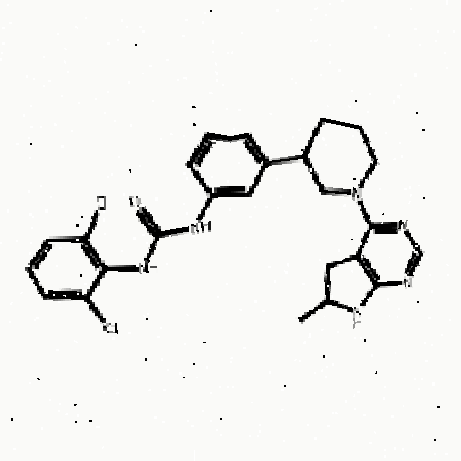 CC1Cc2c(ncnc2N2CCCC(c3cccc(NC(=O)Nc4c(Cl)cccc4Cl)c3)C2)N1